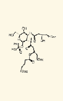 CCCCCCCCCCCCCC(=O)O[C@H](CCCCCCCCCCC)CC(=O)N[C@@H]1[C@@H](OP(=O)(O)O)O[C@H](CO)[C@@H](O)[C@@H]1OC(=O)C[C@H](O)CCCCCCCCCCC